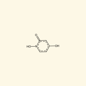 O=c1cc(O)ccn1O